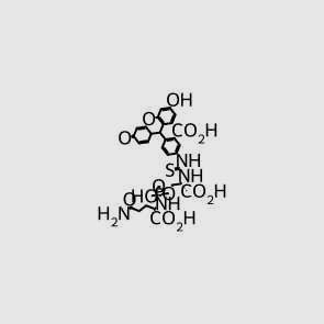 NC(=O)CC[C@H](NP(=O)(O)OC[C@H](NC(=S)Nc1ccc(C2c3ccc(O)cc3OC3=CC(=O)C=CC32)c(C(=O)O)c1)C(=O)O)C(=O)O